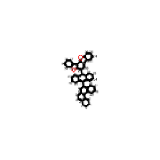 c1ccc2c(c1)ccc1cc(-c3c4ccccc4c(-c4cc5c6ccccc6oc5c5c4oc4ccccc45)c4ccccc34)c3ccccc3c12